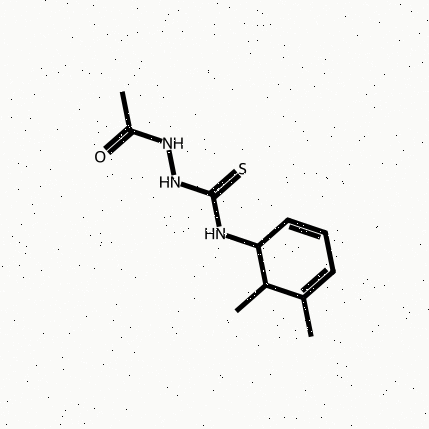 CC(=O)NNC(=S)NC1C=CC=C(C)C1C